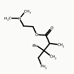 CCC(C)C(C)(CP)C(C)C(=O)OCCN(C)C